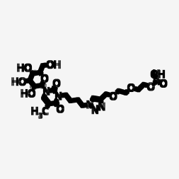 Cc1cn([C@@H]2OC(CO)[C@H](O)C(O)[C@@H]2O)c(=O)n(CCCCn2cc(COCCOCCO[PH](=O)O)nn2)c1=O